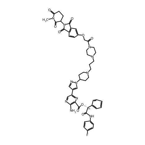 CN1C(=O)CCC(N2C(=O)c3ccc(OCC(=O)N4CCN(CCCN5CCC(n6cc(-c7cnc(N)c(C(=O)O[C@@H](C(=O)Nc8ccc(F)cc8)c8ccccc8)n7)cn6)CC5)CC4)cc3C2=O)C1=O